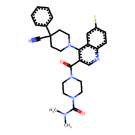 CN(C)C(=O)N1CCN(C(=O)c2cnc3ccc(F)cc3c2N2CCC(C#N)(c3ccccc3)CC2)CC1